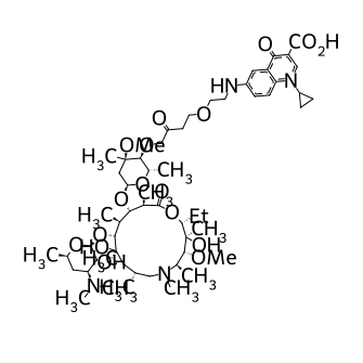 CC[C@H]1OC(=O)[C@H](C)[C@@H](O[C@H]2C[C@@](C)(OC)[C@@H](OCC(=O)CCOCCNc3ccc4c(c3)c(=O)c(C(=O)O)cn4C3CC3)[C@H](C)O2)[C@H](C)[C@@H](O[C@@H]2O[C@H](C)C[C@H](N(C)C)[C@H]2O)[C@](C)(O)C[C@@H](C)CN(C)[C@H](C)[C@@H](OC)[C@]1(C)O